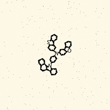 c1ccc2c(c1)ccc1c3ccccc3n(-c3ccc(N(c4ccc5oc6ccccc6c5c4)c4ccc5sc6ccccc6c5c4)cc3)c21